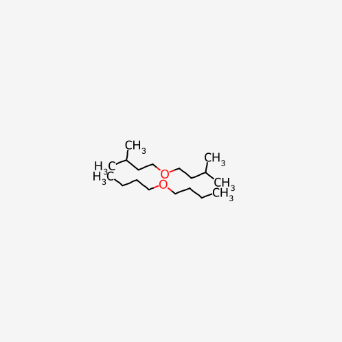 CC(C)CCOCCC(C)C.CCCCOCCCC